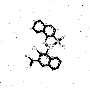 O=C(O)c1cc2ccccc2c(N=Nc2c(S(=O)(=O)O)ccc3ccccc23)c1O